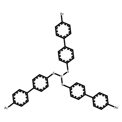 CC(=O)c1ccc(-c2ccc(S[S+](Sc3ccc(-c4ccc(C(C)=O)cc4)cc3)Sc3ccc(-c4ccc(C(C)=O)cc4)cc3)cc2)cc1